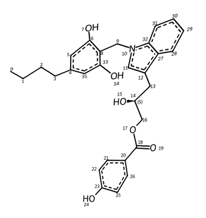 CCCCc1cc(O)c(Cn2cc(C[C@H](O)COC(=O)c3ccc(O)cc3)c3ccccc32)c(O)c1